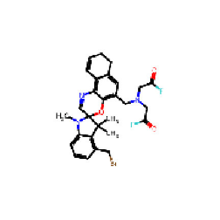 CN1c2cccc(CBr)c2C(C)(C)C12C=Nc1c3c(cc(CN(CC(=O)F)CC(=O)F)c1O2)CCC=C3